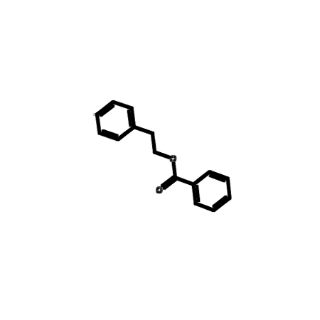 O=C(OCCc1cc[c]cc1)c1ccccc1